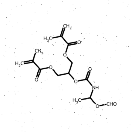 C=C(C)C(=O)OCC(COC(=O)C(=C)C)OC(=O)NC(C)OC=O